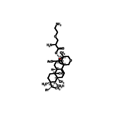 CC(=O)O[C@@H]1C[C@]23COC[C@](C)([C@@H]2CC[C@H]2C3=CC[C@@]3(C)[C@H](C(=O)O)[C@@](C)([C@H](C)C(C)C)CC[C@]23C)[C@H]1OC(=O)C(N)COCCN